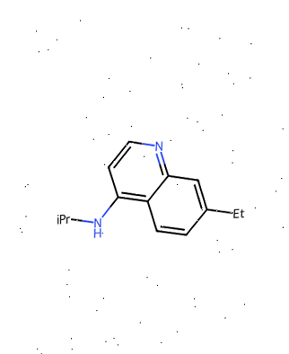 CCc1ccc2c(NC(C)C)ccnc2c1